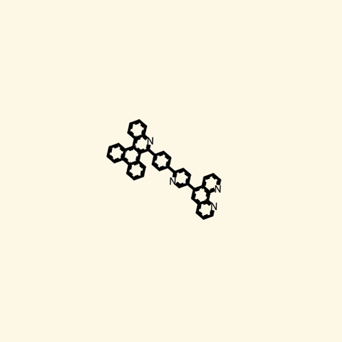 c1cnc2c(c1)cc(-c1ccc(-c3ccc(-c4nc5ccccc5c5c6ccccc6c6ccccc6c45)cc3)nc1)c1cccnc12